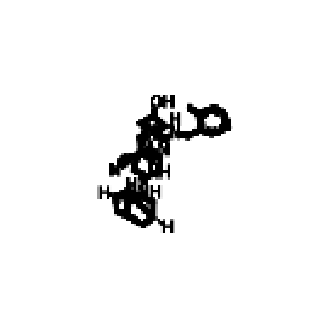 Cc1ccccc1CNc1ncc(C#N)c(NC[C@]23CC4C[C@H](C2)[C@@H](N[C@H]2CC[C@@H](N5CC(O)C5)CC2)[C@@H](C4)C3)n1